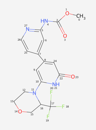 COC(=O)Nc1cc(-c2cc(N3CCOCC3C(F)(F)F)[nH]c(=O)c2)ccn1